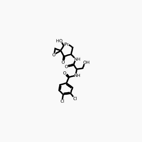 CC(C)CC(NC(=O)C(CO)NC(=O)c1ccc(Cl)c(Cl)c1)C(=O)C1(CO)CO1